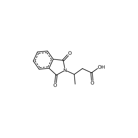 CC(CC(=O)O)N1C(=O)c2ccccc2C1=O